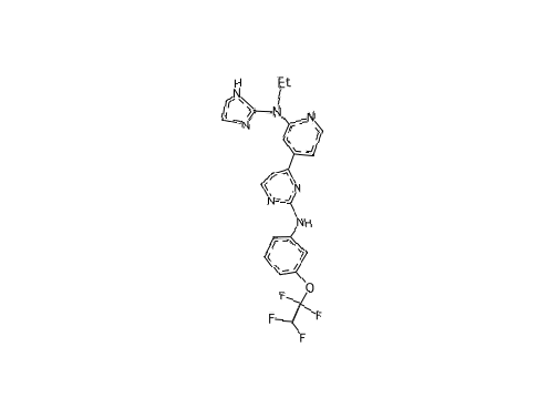 CCN(c1cc(-c2ccnc(Nc3cccc(OC(F)(F)C(F)F)c3)n2)ccn1)c1ncc[nH]1